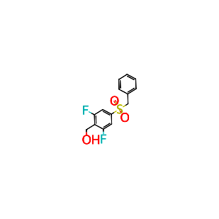 O=S(=O)(Cc1ccccc1)c1cc(F)c(CO)c(F)c1